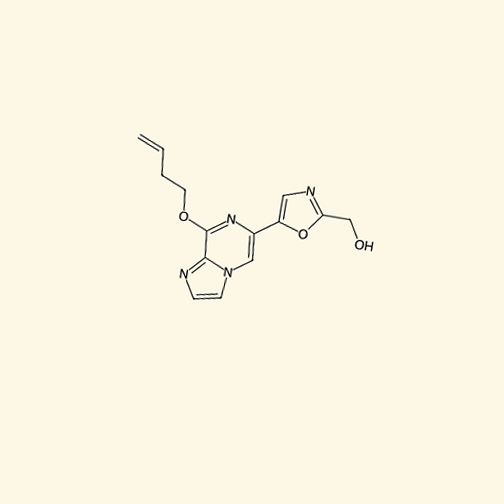 C=CCCOc1nc(-c2cnc(CO)o2)cn2ccnc12